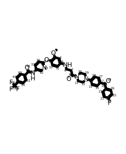 COc1cc(NCCC(=O)N2CCN(c3ccc(C(=O)c4ccc(F)cc4)cc3)CC2)ccc1Oc1ccc(NC(=O)c2ccc(C(F)(F)F)cc2)cn1